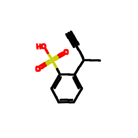 C#CC(C)c1ccccc1S(=O)(=O)O